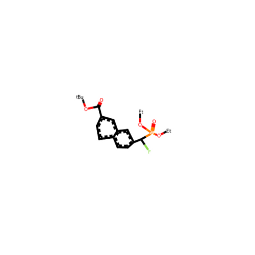 CCOP(=O)(OCC)C(F)c1ccc2ccc(C(=O)OC(C)(C)C)cc2c1